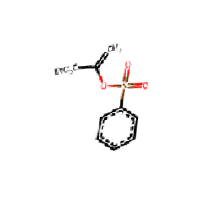 C=C(OS(=O)(=O)c1ccccc1)C(=O)OCC